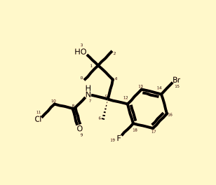 CC(C)(O)C[C@](C)(NC(=O)CCl)c1cc(Br)ccc1F